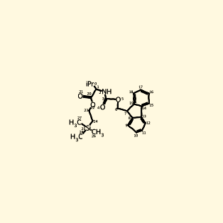 CC(C)C(NC(=O)OCC1c2ccccc2-c2ccccc21)C(=O)OCC[Si](C)(C)C